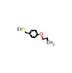 [CH2]CSCc1ccc(OCC=C)cc1